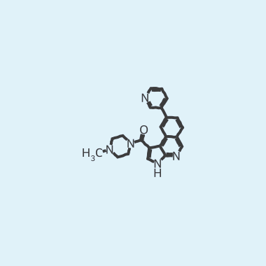 CN1CCN(C(=O)c2c[nH]c3ncc4ccc(-c5cccnc5)cc4c23)CC1